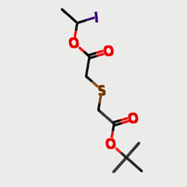 CC(I)OC(=O)CSCC(=O)OC(C)(C)C